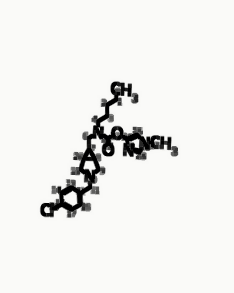 CCCCCN(CC1C2CN(Cc3ccc(Cl)cc3)CC21)C(=O)Oc1cn(C)cn1